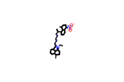 C=C(/C=C/C=C/C=c1/c2cccc3c(C)ccc(c32)n1CC)c1cccc2c([N+](=O)[O-])ccc(C)c12